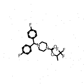 CC(OC(=O)N1CCN(C(c2ccc(F)cc2)c2ccc(F)cc2)CC1)C(F)(F)F